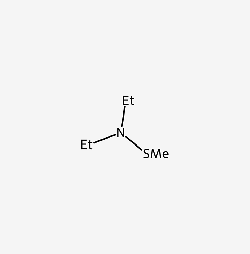 [C]SN(CC)CC